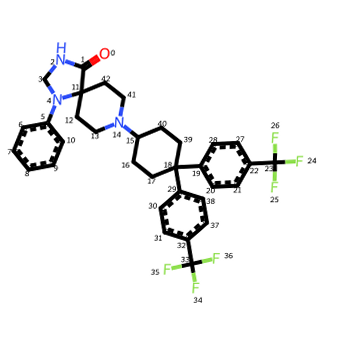 O=C1NCN(c2ccccc2)C12CCN(C1CCC(c3ccc(C(F)(F)F)cc3)(c3ccc(C(F)(F)F)cc3)CC1)CC2